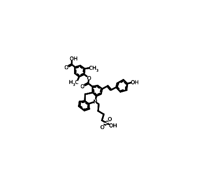 Cc1cc(C(=O)O)cc(C)c1OC(=O)c1cc(C=Cc2ccc(O)cc2)cc2c1Cc1ccccc1N2CCCCS(=O)(=O)O